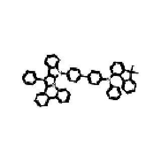 CC1(C)c2ccccc2-c2c(N(c3ccccc3)c3ccc(-c4ccc(-n5c6ccccc6c6c(-c7ccccc7)c7c8ccccc8c8ccccc8n7c65)cc4)cc3)cccc21